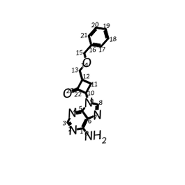 Nc1ncnc2c1ncn2C1CC(COCc2ccccc2)C1=O